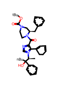 CCCCC(O)(c1ccccc1)[C@H](C)n1cnc(C(=O)N2CCN(C(=O)OC(C)(C)C)C[C@H]2Cc2ccccc2)c1C1=CC=CCC1